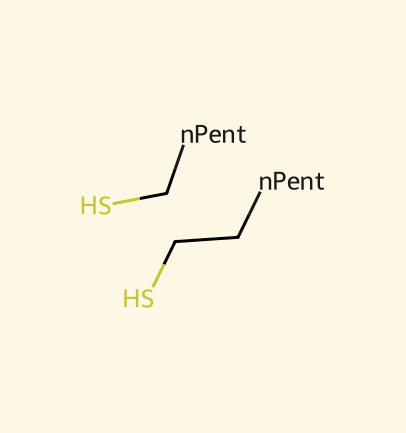 CCCCCCCS.CCCCCCS